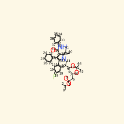 CC(C)OC(=O)CC1CC(CCn2c(-c3ccc(F)cc3)c(-c3ccccc3)c(C(=O)Nc3ccccc3)c2C(C)C)OC(C)(C)O1